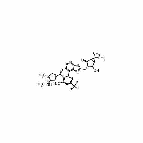 CN[C@@H]1CN(C(=O)c2c(C)cc(C(F)(F)F)nc2-c2ccnc3cc(CN4C(=O)C5C(C4O)C5(C)C)sc23)C[C@H]1C